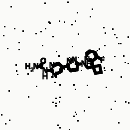 NC(=O)Nc1ncc(-c2ccc(NCC3(c4ncccc4F)CCC3)nn2)cn1